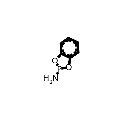 NP1Oc2ccccc2O1